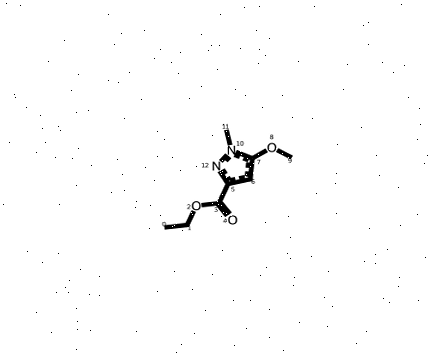 CCOC(=O)c1cc(OC)n(C)n1